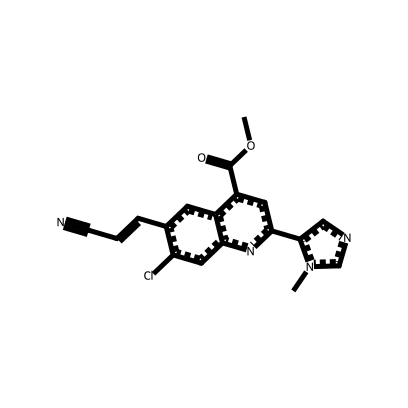 COC(=O)c1cc(-c2cncn2C)nc2cc(Cl)c(/C=C/C#N)cc12